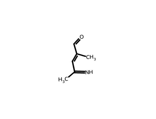 CC(=N)/C=C(\C)C=O